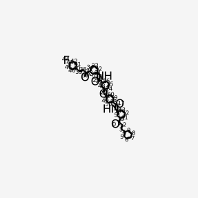 O=C(/C=C/c1ccccc1)c1cccc(NC(=O)c2ccc(Oc3cccc(C(=O)Nc4cccc(C(=O)/C=C/c5ccc(F)cc5)c4)c3)cc2)c1